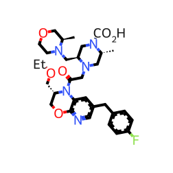 CCOC[C@H]1COc2ncc(Cc3ccc(F)cc3)cc2N1C(=O)CN1C[C@@H](C)N(C(=O)O)C[C@@H]1CN1CCOC[C@H]1C